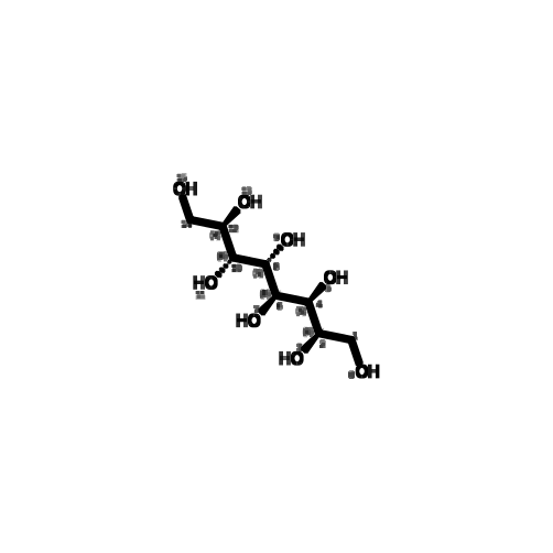 OC[C@@H](O)[C@H](O)[C@@H](O)[C@@H](O)[C@H](O)[C@H](O)CO